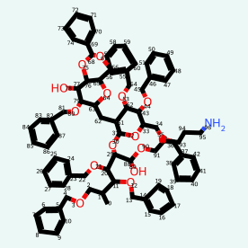 CC(COCc1ccccc1)C(OCc1ccccc1)C(OCc1ccccc1)C(OC1OC(COCc2ccccc2)C(OCc2ccccc2)C(OCc2ccccc2)C1CC1OC2COC(c3ccccc3)OC2C(O)C1OCc1ccccc1)C(O)OCCCCCN